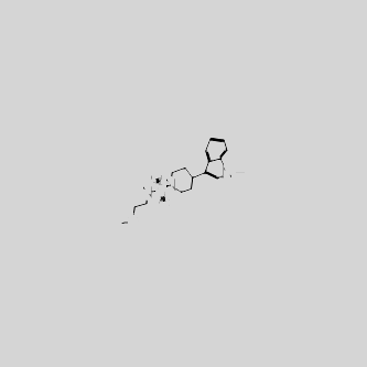 COCCNS(=O)(=O)N1CCC(c2c[nH]c3ccccc23)CC1